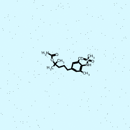 Cc1cc(CCCC(C)(C)OC(N)=O)cc(Cl)c1NS(C)(=O)=O